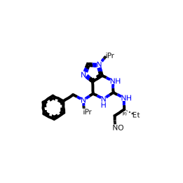 CC[C@H](CN=O)NC1Nc2c(ncn2C(C)C)C(N(Cc2ccccc2)C(C)C)N1